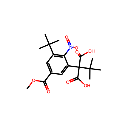 COC(=O)c1cc(C(C)(C)C)c([N+](=O)[O-])c(C(C(=O)O)(C(=O)O)C(C)(C)C)c1